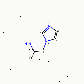 CCC(N)Cn1ccnc1